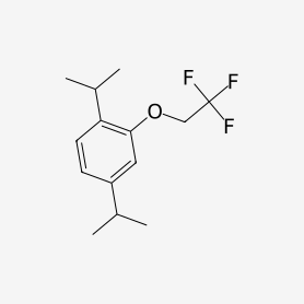 CC(C)c1ccc(C(C)C)c(OCC(F)(F)F)c1